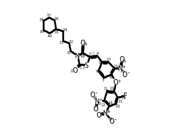 O=C1S/C(=C\c2ccc(Oc3cc([N+](=O)[O-])c([N+](=O)[O-])cc3F)c([N+](=O)[O-])c2)C(=O)N1CCCCC1CCCCC1